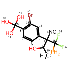 CC(O)C(N=O)(c1ccc(C(O)(O)O)c(Br)c1)C(F)(F)P